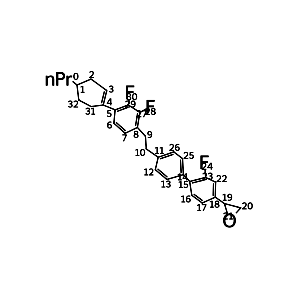 CCCC1CC=C(c2ccc(CCc3ccc(-c4ccc(C5CO5)cc4F)cc3)c(F)c2F)CC1